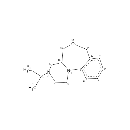 CC(C)N1CCN2c3ncccc3COCC2C1